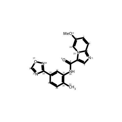 COc1ccc2ncc(C(=O)Nc3cc(-c4ncon4)ccc3C)n2c1